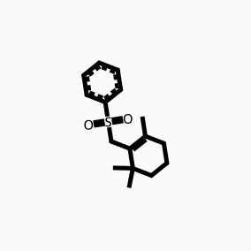 CC1=C(CS(=O)(=O)c2ccccc2)C(C)(C)CCC1